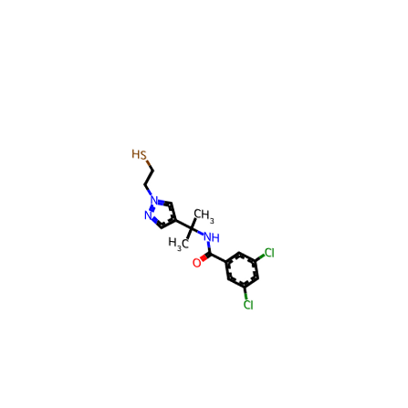 CC(C)(NC(=O)c1cc(Cl)cc(Cl)c1)c1cnn(CCS)c1